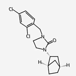 O=C1N(Cc2ccc(Cl)cc2Cl)CCN1[C@@H]1C[C@H]2CC[C@@H]1C2